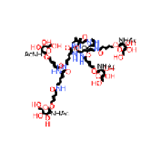 COC[C@@H]1CCCN1C(=O)CC(C)(C)C(C)CNC(=O)C(CCCCNC(=O)C(CCCCNC(=O)CCCCOC1OC(CO)C(O)C(O)C1NC(C)=O)NC(=O)CCCCOC1OC(CO)C(O)C(O)C1NC(C)=O)NC(=O)C(CCCCNC(=O)CCCCOC1OC(CO)C(O)C(O)C1NC(C)=O)NC(=O)CCCCOC1OC(CO)C(O)C(O)C1NC(C)=O